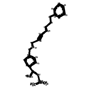 C[SiH](C)OC(c1ccc(COCC#CCCCCc2ccccc2)cc1)C(C)(C)C